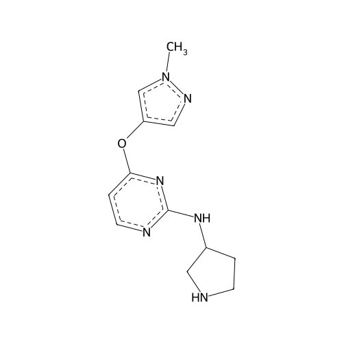 Cn1cc(Oc2ccnc(NC3CCNC3)n2)cn1